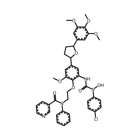 COc1cc(C2CCC(c3cc(OC)c(OC)c(OC)c3)O2)cc(NC(=O)N(O)c2ccc(Cl)cc2)c1OCCN(C(=O)c1cccnc1)c1ccccc1